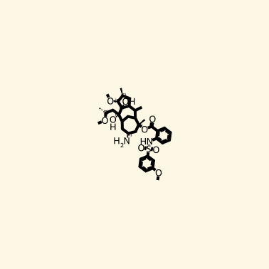 COc1cccc(S(=O)(=O)Nc2ccccc2C(=O)O[C@]2(C)C[C@H](N)CC3CC2C(C)C2C[C@H](C)[C@H](OC)[C@]2(O)[C@]3(O)C[C@@H](C)OC)c1